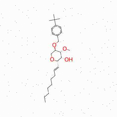 CCCCCCCC=C[C@@H]1OC[C@@H](OCc2ccc(C(C)(C)C)cc2)[C@H](OC)[C@@H]1O